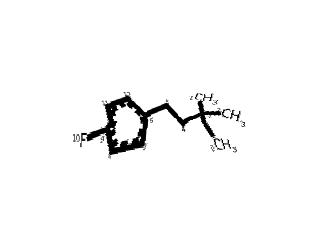 CC(C)(C)CCc1ccc(F)cc1